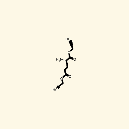 C#CCOC(=O)CC[C@H](N)C(=O)OCC#C